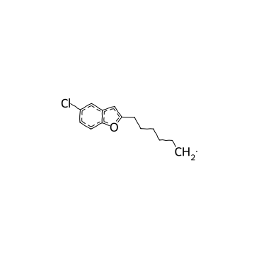 [CH2]CCCCCc1cc2cc(Cl)ccc2o1